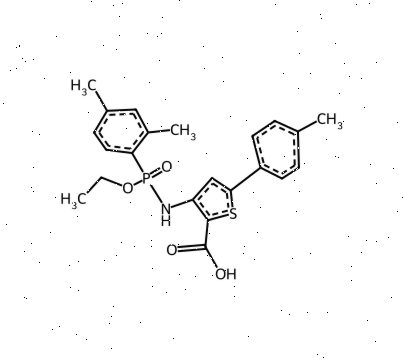 CCOP(=O)(Nc1cc(-c2ccc(C)cc2)sc1C(=O)O)c1ccc(C)cc1C